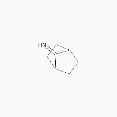 N=C1C2CCC1CC2